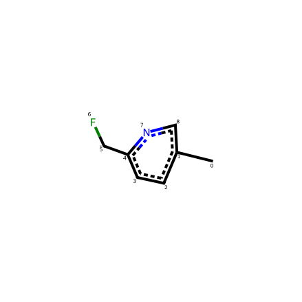 Cc1ccc([CH]F)nc1